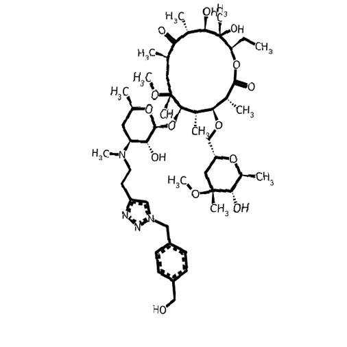 CC[C@H]1OC(=O)[C@H](C)[C@@H](OC[C@H]2C[C@@](C)(OC)[C@@H](O)[C@H](C)O2)[C@H](C)[C@@H](O[C@@H]2O[C@H](C)C[C@H](N(C)CCc3cn(Cc4ccc(CO)cc4)nn3)[C@H]2O)[C@](C)(OC)C[C@@H](C)C(=O)[C@H](C)[C@@H](O)[C@]1(C)O